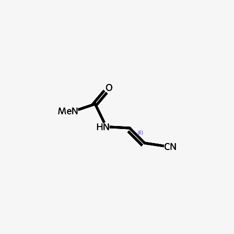 CNC(=O)N/C=C/C#N